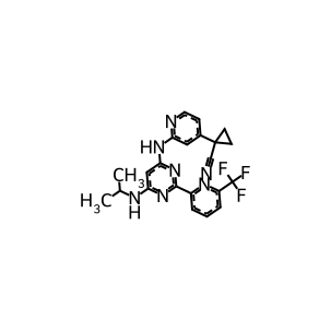 CC(C)Nc1cc(Nc2cc(C3(C#N)CC3)ccn2)nc(-c2cccc(C(F)(F)F)n2)n1